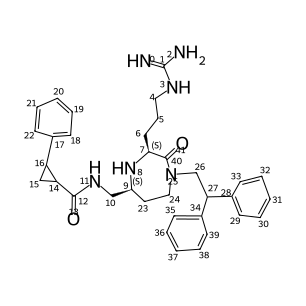 N=C(N)NCCC[C@@H]1N[C@H](CNC(=O)C2CC2c2ccccc2)CCN(CC(c2ccccc2)c2ccccc2)C1=O